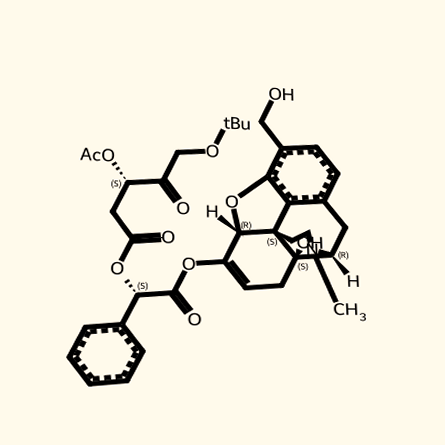 CC(=O)O[C@@H](CC(=O)O[C@H](C(=O)OC1=CC[C@@]2(O)[C@H]3Cc4ccc(CO)c5c4[C@@]2(CCN3C)[C@H]1O5)c1ccccc1)C(=O)COC(C)(C)C